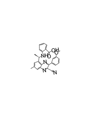 COc1cccc(-c2nc3c([C@@H](C)Nc4ccccc4C(=O)O)cc(C)cc3nc2C#N)c1